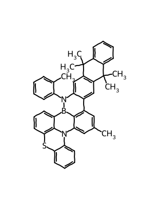 Cc1cc2c3c(c1)N1c4ccccc4Sc4cccc(c41)B3N(c1ccccc1C)c1cc3c(cc1-2)C(C)(C)c1ccccc1C3(C)C